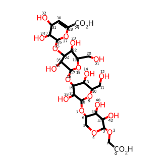 O=C(O)COC1OCC(OC2OC(CO)C(O)C(OC3OC(CO)C(O)C(OC4OC(C(=O)O)=CC(O)C4O)C3O)C2O)C(O)C1O